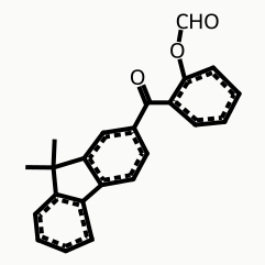 CC1(C)c2ccccc2-c2ccc(C(=O)c3ccccc3OC=O)cc21